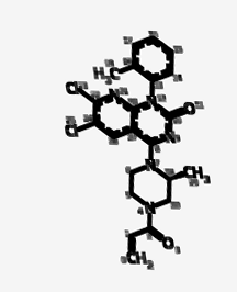 C=CC(=O)N1CCN(c2nc(=O)n(-c3ccccc3C)c3nc(Cl)c(Cl)cc23)[C@@H](C)C1